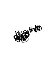 COc1c(OCC(=O)NCN2CCOCC2)ccc2c1C(=O)N(NS(=O)(=O)c1ccccc1)S2(=O)=O